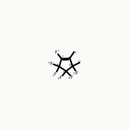 CC1=C(F)C(F)(F)C(F)(F)C1(C)F